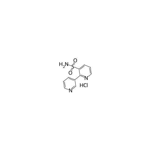 Cl.NS(=O)(=O)c1cccnc1-c1cccnc1